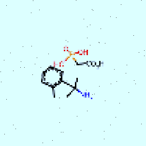 Cc1ccccc1C(C)(C)N.O=C(O)CP(=O)(O)O